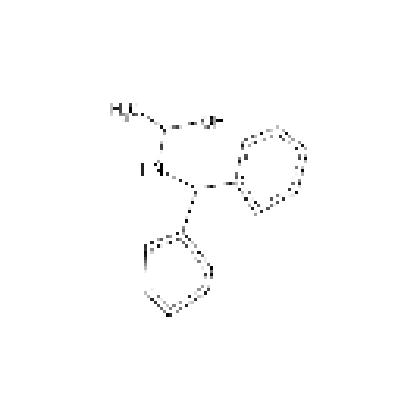 CC(O)NC(c1ccccc1)c1ccccc1